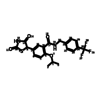 CC(C)Oc1ccc(C2SC(=O)NC2=O)cc1C(=O)NCc1ccc(C(F)(F)F)cc1